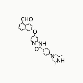 CC1CN(c2ccc(C(=O)Nc3cc(Oc4ccc5c(C=O)cccc5c4)ccn3)cc2)CC(C)N1